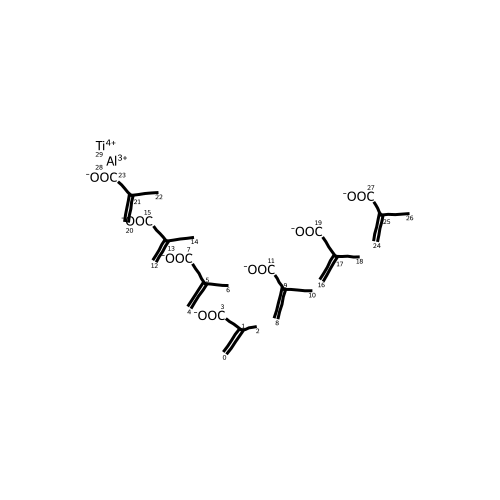 C=C(C)C(=O)[O-].C=C(C)C(=O)[O-].C=C(C)C(=O)[O-].C=C(C)C(=O)[O-].C=C(C)C(=O)[O-].C=C(C)C(=O)[O-].C=C(C)C(=O)[O-].[Al+3].[Ti+4]